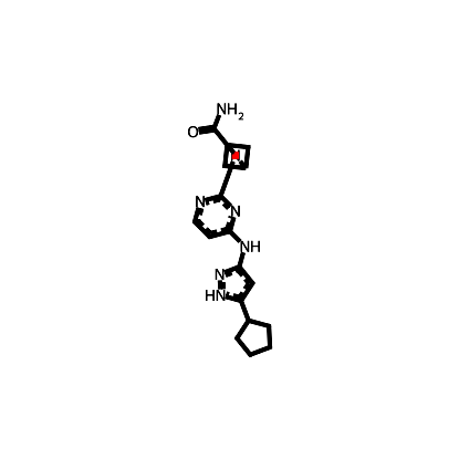 NC(=O)C12CC(C1)N(c1nccc(Nc3cc(C4CCCC4)[nH]n3)n1)C2